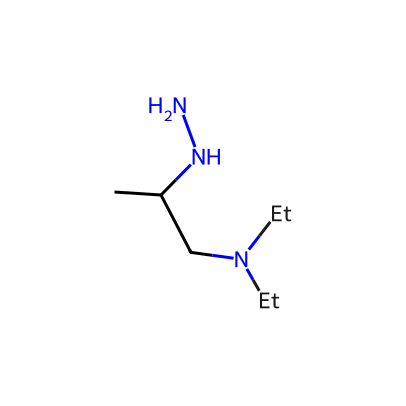 CCN(CC)CC(C)NN